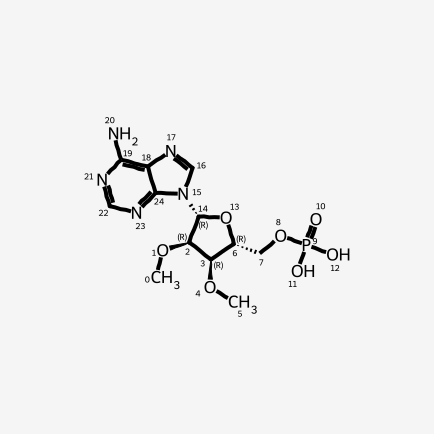 CO[C@@H]1[C@H](OC)[C@@H](COP(=O)(O)O)O[C@H]1n1cnc2c(N)ncnc21